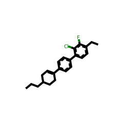 CCCC1CC=C(c2ccc(-c3ccc(CC)c(F)c3Cl)cc2)CC1